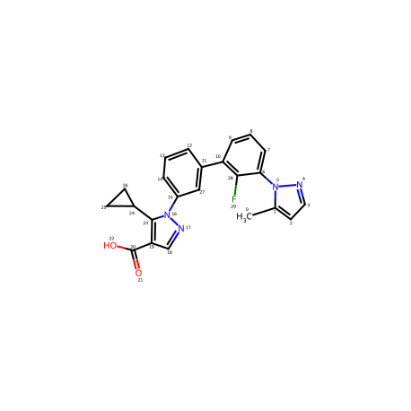 Cc1ccnn1-c1cccc(-c2cccc(-n3ncc(C(=O)O)c3C3CC3)c2)c1F